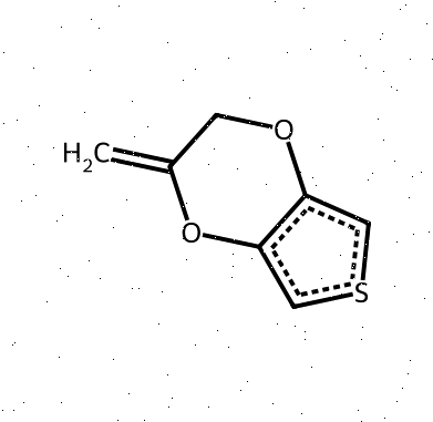 C=C1COc2cscc2O1